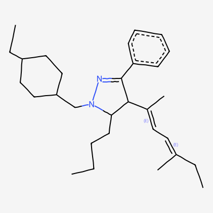 CCCCC1C(/C(C)=C/C=C(\C)CC)C(c2ccccc2)=NN1CC1CCC(CC)CC1